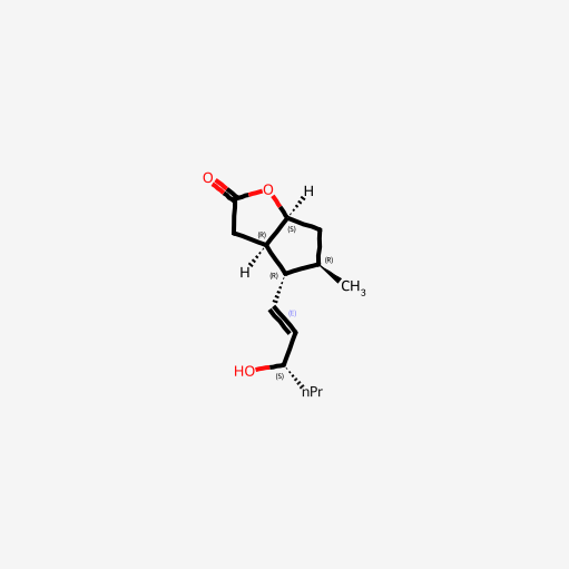 CCC[C@H](O)/C=C/[C@@H]1[C@H]2CC(=O)O[C@H]2C[C@H]1C